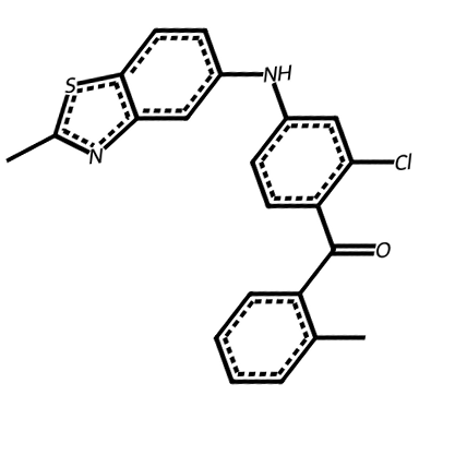 Cc1nc2cc(Nc3ccc(C(=O)c4ccccc4C)c(Cl)c3)ccc2s1